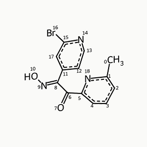 Cc1cccc(C(=O)/C(=N/O)c2ccnc(Br)c2)n1